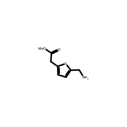 COC(=O)Cc1ccc(CN)s1